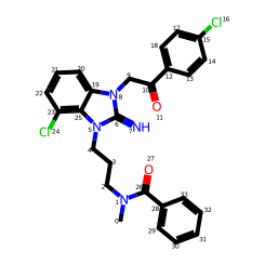 CN(CCCn1c(=N)n(CC(=O)c2ccc(Cl)cc2)c2cccc(Cl)c21)C(=O)c1ccccc1